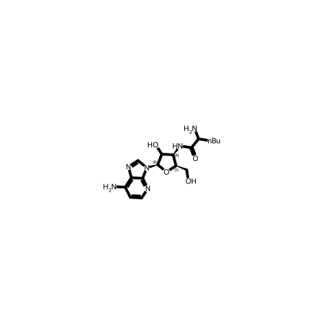 CCCCC(N)C(=O)N[C@@H]1C(O)[C@H](n2cnc3c(N)ccnc32)O[C@@H]1CO